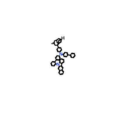 C[C@H]1CC2CC3=C[C@@H](C2)CC3(c2ccc(N(c3ccc(-c4ccccc4)cc3)c3ccc(-c4ccccc4-n4c5ccccc5c5cc6ccccc6cc54)cc3)cc2)C1